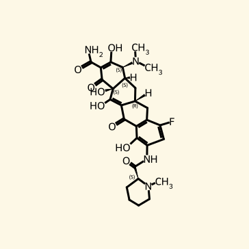 CN(C)[C@@H]1C(O)=C(C(N)=O)C(=O)[C@@]2(O)C(O)=C3C(=O)c4c(O)c(NC(=O)[C@@H]5CCCCN5C)cc(F)c4C[C@H]3C[C@@H]12